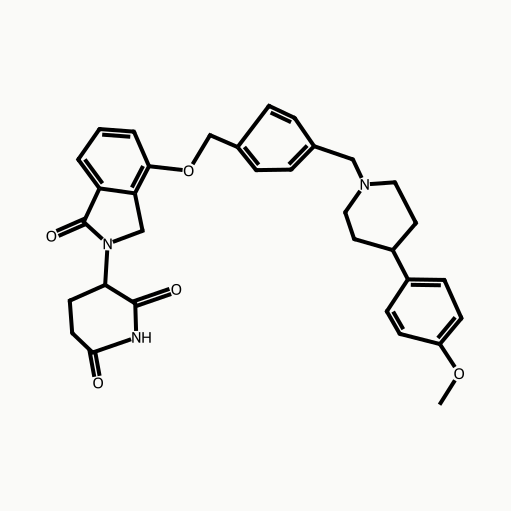 COc1ccc(C2CCN(Cc3ccc(COc4cccc5c4CN(C4CCC(=O)NC4=O)C5=O)cc3)CC2)cc1